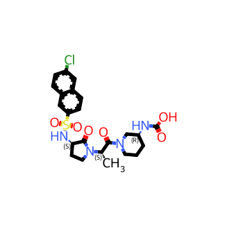 C[C@@H](C(=O)N1CCC[C@@H](NC(=O)O)C1)N1CC[C@H](NS(=O)(=O)c2ccc3cc(Cl)ccc3c2)C1=O